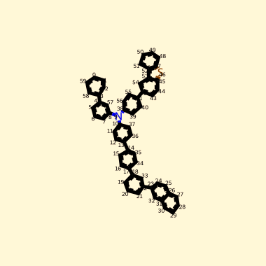 c1ccc(-c2cccc(N(c3ccc(-c4ccc(-c5cccc(-c6ccc7ccccc7c6)c5)cc4)cc3)c3ccc(-c4ccc5sc6ccccc6c5c4)cc3)c2)cc1